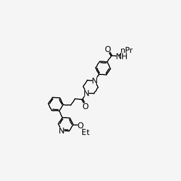 CCCNC(=O)c1ccc(N2CCN(C(=O)CCc3ccccc3-c3cncc(OCC)c3)CC2)cc1